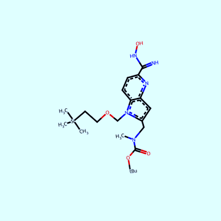 CN(Cc1cc2nc(C(=N)NO)ccc2n1COCC[Si](C)(C)C)C(=O)OC(C)(C)C